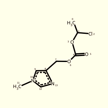 CC(Cl)OC(=O)OCc1cn(C)cn1